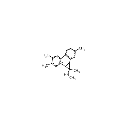 CNC1(C)C2c3cc(C)ccc3-c3cc(C)c(C)c[n+]3C21